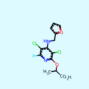 CC(Oc1nc(F)c(Cl)c(NCc2ccco2)c1Cl)C(=O)O